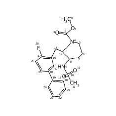 COC(=O)N1CCCC(NS(C)(=O)=O)C1Cc1cc(-c2ccccc2)ccc1F